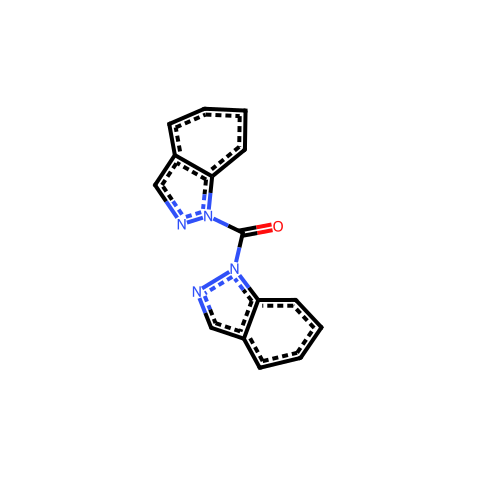 O=C(n1ncc2ccccc21)n1ncc2ccccc21